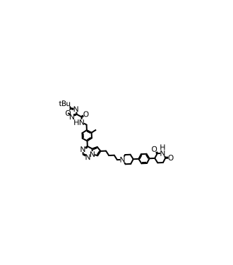 Cc1cc(-c2ncnn3cc(CCCCN4CCC(c5ccc(C6CCC(=O)NC6=O)cc5)CC4)cc23)ccc1CNC(=O)c1noc(C(C)(C)C)n1